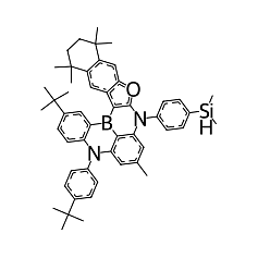 Cc1cc2c3c(c1)N(c1ccc([SiH](C)C)cc1)c1oc4cc5c(cc4c1B3c1cc(C(C)(C)C)ccc1N2c1ccc(C(C)(C)C)cc1)C(C)(C)CCC5(C)C